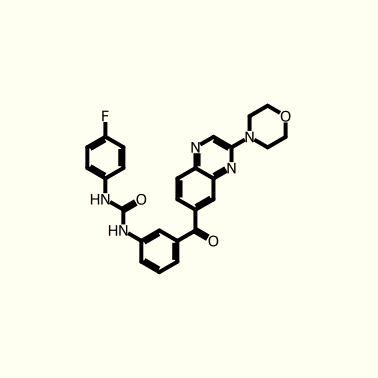 O=C(Nc1ccc(F)cc1)Nc1cccc(C(=O)c2ccc3ncc(N4CCOCC4)nc3c2)c1